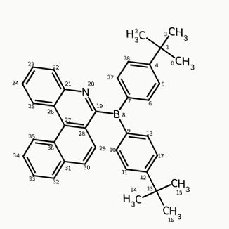 CC(C)(C)c1ccc(B(c2ccc(C(C)(C)C)cc2)c2nc3ccccc3c3c2ccc2ccccc23)cc1